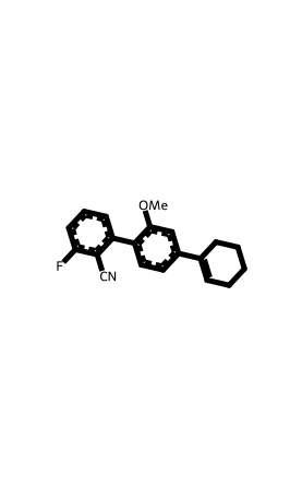 COc1cc(C2=CCCCC2)ccc1-c1cccc(F)c1C#N